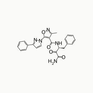 Cc1noc(-n2ccc(-c3ccccc3)n2)c1C(=O)N[C@@H](Cc1ccccc1)C(=O)C(N)=O